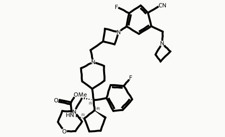 COC(=O)N[C@H]1CCC[C@@H]1[C@](CN1CCOCC1)(c1cccc(F)c1)C1CCN(CC2CN(c3cc(CN4CCC4)c(C#N)cc3F)C2)CC1